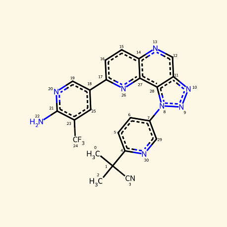 CC(C)(C#N)c1ccc(-n2nnc3cnc4ccc(-c5cnc(N)c(C(F)(F)F)c5)nc4c32)cn1